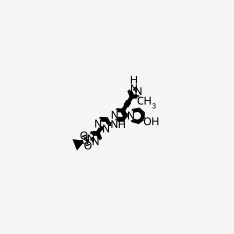 Cc1n[nH]cc1C#Cc1cnc(Nc2ccnc(-c3cnn(S(=O)(=O)C4CC4)c3)n2)cc1N1CCCC(O)CC1